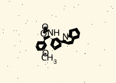 COc1cccc([C@H]2OC(=O)N[C@@H]2c2cccc(-c3ccc4ccccc4n3)c2)c1